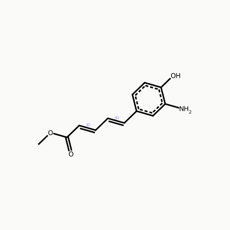 COC(=O)/C=C/C=C/c1ccc(O)c(N)c1